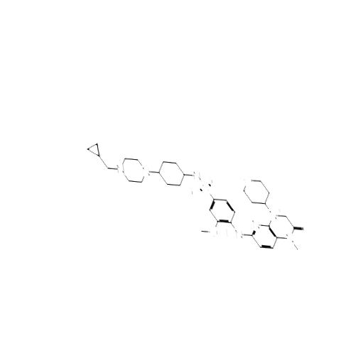 COc1cc(S(=O)(=O)NC2CCC(N3CCN(CC4CC4)CC3)CC2)ccc1Nc1ccc2c(n1)N(C1CCOCC1)[C@H](C)C(=O)N2C